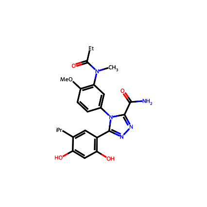 CCC(=O)N(C)c1cc(-n2c(C(N)=O)nnc2-c2cc(C(C)C)c(O)cc2O)ccc1OC